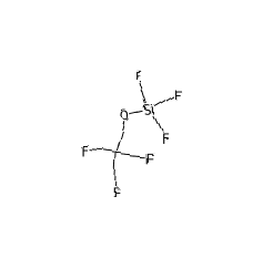 FC(F)(F)O[Si](F)(F)F